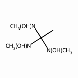 CN(O)C(C)(N(C)O)N(C)O